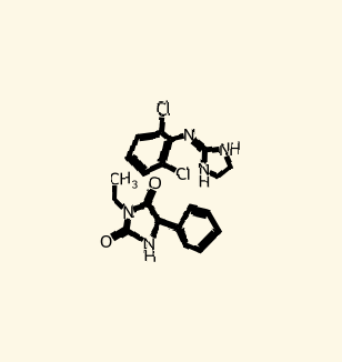 CCN1C(=O)NC(c2ccccc2)C1=O.Clc1cccc(Cl)c1N=C1NCCN1